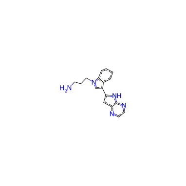 NCCCn1cc(-c2cc3nccnc3[nH]2)c2ccccc21